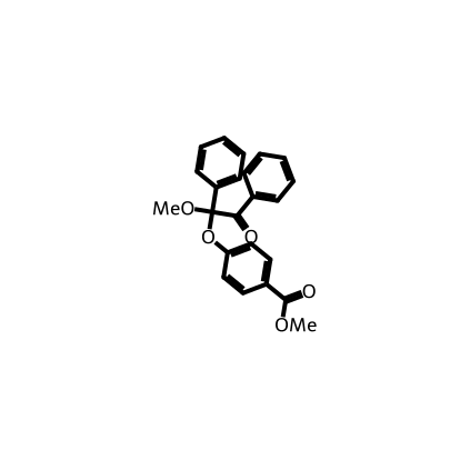 COC(=O)c1ccc(OC(OC)(C(=O)c2ccccc2)c2ccccc2)cc1